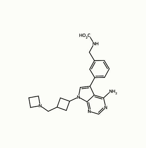 Nc1ncnc2c1c(-c1cccc(CNC(=O)O)c1)cn2C1CC(CN2CCC2)C1